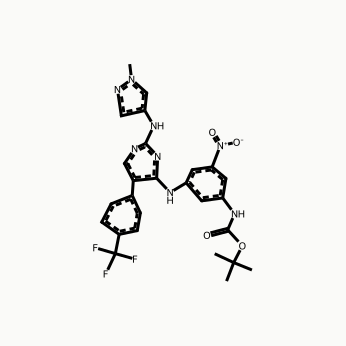 Cn1cc(Nc2ncc(-c3ccc(C(F)(F)F)cc3)c(Nc3cc(NC(=O)OC(C)(C)C)cc([N+](=O)[O-])c3)n2)cn1